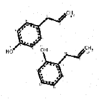 C=CCc1ccc(O)cc1.C=CCc1ccccc1O